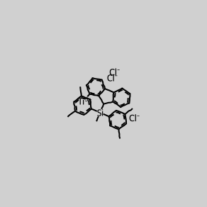 Cc1cc(C)cc([Si](C)(c2cc(C)cc(C)c2)C2c3ccccc3-c3ccc[c]([Ti+3])c32)c1.[Cl-].[Cl-].[Cl-]